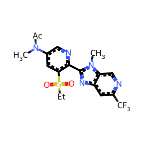 CCS(=O)(=O)c1cc(N(C)C(C)=O)cnc1-c1nc2cc(C(F)(F)F)ncc2n1C